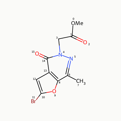 COC(=O)Cn1nc(C)c2oc(Br)cc2c1=O